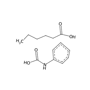 CCCCCC(=O)O.O=C(O)Nc1ccccc1